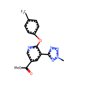 COC(=O)c1cnc(Oc2ccc(C(F)(F)F)cc2)c(-c2nnn(C)n2)c1